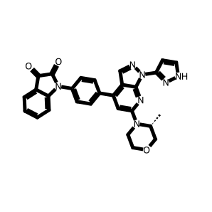 C[C@@H]1COCCN1c1cc(-c2ccc(N3C(=O)C(=O)c4ccccc43)cc2)c2cnn(-c3cc[nH]n3)c2n1